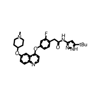 CN1CCC(Oc2ccc3nccc(Oc4ccc(CC(=O)Nc5cc(C(C)(C)C)[nH]n5)c(F)c4)c3c2)CC1